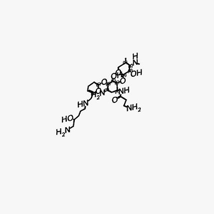 CN[C@@H]1[C@@H](O)[C@@H](O[C@@H]2[C@@H](O)[C@H](O[C@@H]3CCC=C(CNCCCC(O)CN)O3)[C@@H](N)C[C@H]2NC(=O)CCN)OC[C@H]1C